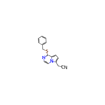 N#CCc1ccc2c(SCc3ccccc3)nccn12